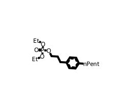 CCCCCc1ccc(CCCOP(=O)(OCC)OCC)cc1